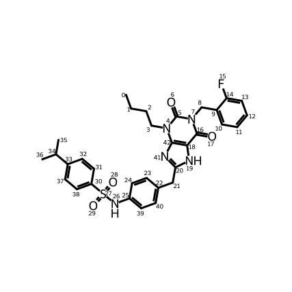 CCCCn1c(=O)n(Cc2ccccc2F)c(=O)c2[nH]c(Cc3ccc(NS(=O)(=O)c4ccc(C(C)C)cc4)cc3)nc21